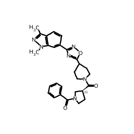 Cc1nn(C)c2cc(-c3noc(C4CCN(C(=O)[C@H]5CCN(C(=O)c6ccccc6)C5)CC4)n3)ccc12